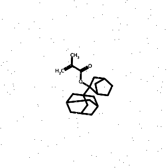 C=C(C)C(=O)OC1(C23CC4CC(CC(C4)C2)C3)CC2CCC1C2